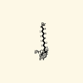 CC(C)OP(=O)(OC(C)C)C(F)(F)CCCCCCCCCCCBr